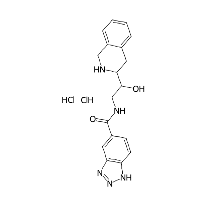 Cl.Cl.O=C(NCC(O)C1Cc2ccccc2CN1)c1ccc2[nH]nnc2c1